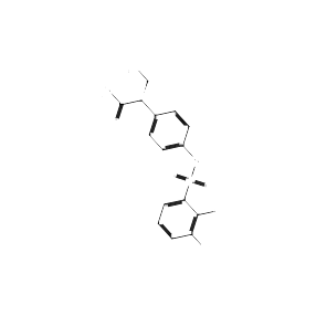 CC[C@H](C(N)=O)c1ccc(NS(=O)(=O)c2cccc(Cl)c2Cl)cc1